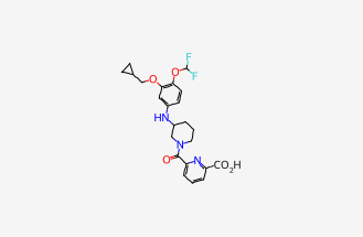 O=C(O)c1cccc(C(=O)N2CCCC(Nc3ccc(OC(F)F)c(OCC4CC4)c3)C2)n1